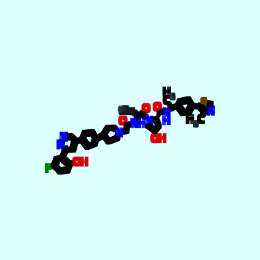 Cc1ncsc1-c1ccc([C@H](C)NC(=O)[C@@H]2C[C@@H](O)CN2C(=O)C(NC(=O)CN2CCC(c3ccc(-c4cnnc(-c5cc(F)ccc5O)c4)cc3)CC2)C(C)(C)C)cc1